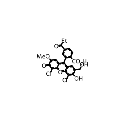 CCC(=O)c1ccc(C(=O)O)c(-c2c3cc(OC)c(=O)c(Cl)c-3oc3c(Cl)c(O)c(CO)cc23)c1